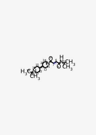 CC(C)NC(=O)/C=C/C(=O)N1CCC(C2CCN(C(C)C)CC2)CC1